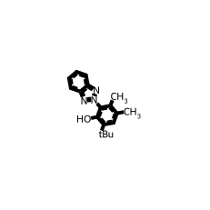 Cc1cc(C(C)(C)C)c(O)c(-n2nc3ccccc3n2)c1C